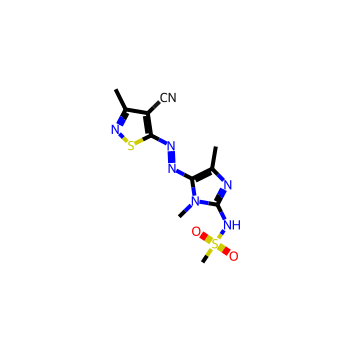 Cc1nsc(/N=N/c2c(C)nc(NS(C)(=O)=O)n2C)c1C#N